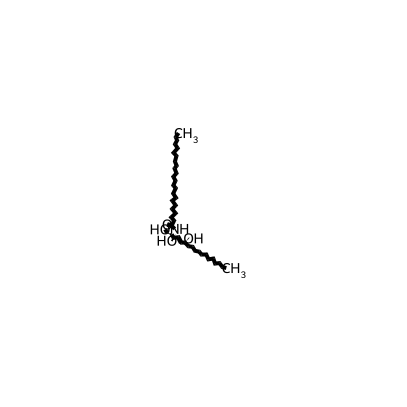 CCCCCCCCCCCCCCCCCCCCCCCC(=O)N[C@@H](CO)[C@H](O)/C=C/[C@H](O)CCCCCCCCCCCC